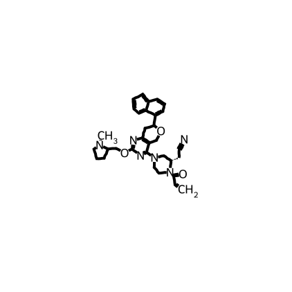 C=CC(=O)N1CCN(c2nc(OCC3CCCN3C)nc3c2COC(c2cccc4ccccc24)C3)C[C@@H]1CC#N